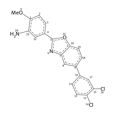 COc1ccc(-c2nc3cc(-c4ccc(Cl)c(Cl)c4)ccc3o2)cc1N